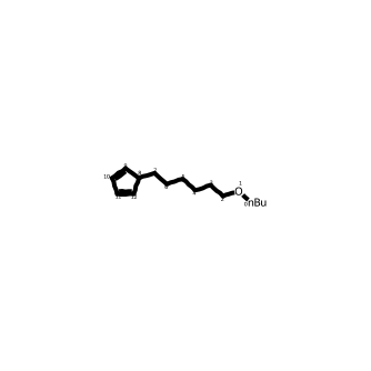 CCCCOCCCCCCC1C=CC=C1